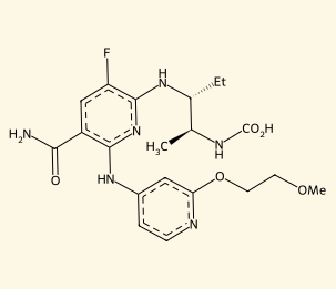 CC[C@@H](Nc1nc(Nc2ccnc(OCCOC)c2)c(C(N)=O)cc1F)[C@H](C)NC(=O)O